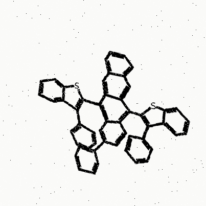 c1ccc(-c2ccc3c(-c4sc5ccccc5c4-c4ccccc4)c4cc5ccccc5cc4c(-c4sc5ccccc5c4-c4ccccc4)c3c2)cc1